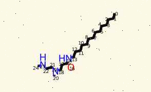 CCCCCCCCCCCCCCNC(=O)CCN(C)CCNC